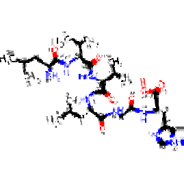 CC(C)C[C@H](NC(=O)[C@@H](NC(=O)[C@@H](NC(=O)[C@@H](N)CC(C)C)C(C)C)C(C)C)C(=O)NCC(=O)N[C@@H](Cc1c[nH]cn1)C(=O)O